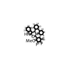 COc1c(C(=O)N2c3ccccc3-c3ccccc3C2c2c[nH]c3ccccc23)cc(F)c(F)c1F